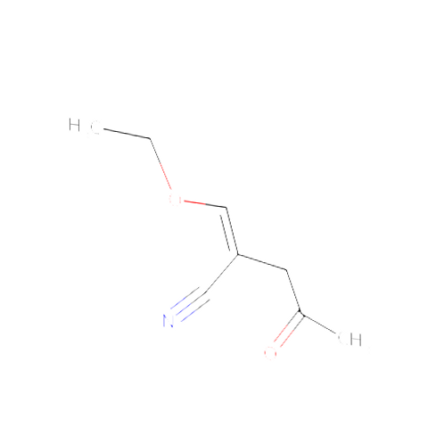 CCOC=C(C#N)CC(C)=O